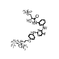 CC(C)(C)[Si](C)(C)OCCOc1ccc(Nc2ncc(F)c(Nc3cccc(NC(=O)C(O)COS(C)(=O)=O)c3)n2)cc1